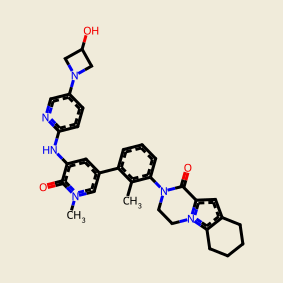 Cc1c(-c2cc(Nc3ccc(N4CC(O)C4)cn3)c(=O)n(C)c2)cccc1N1CCn2c(cc3c2CCCC3)C1=O